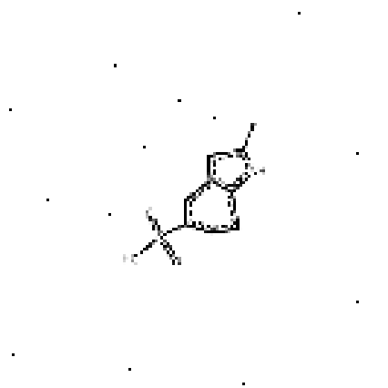 Cc1cc2cc(S(=O)(=O)O)ccc2[nH]1